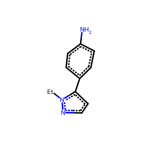 CCn1nccc1-c1ccc(N)cc1